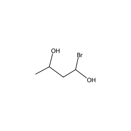 CC(O)CC(O)Br